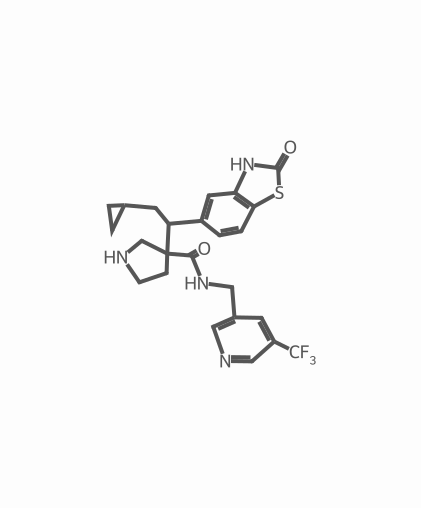 O=C(NCc1cncc(C(F)(F)F)c1)C1(C(CC2CC2)c2ccc3sc(=O)[nH]c3c2)CCNC1